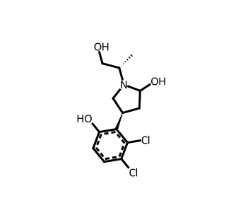 C[C@@H](CO)N1C[C@H](c2c(O)ccc(Cl)c2Cl)CC1O